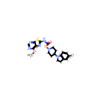 COc1ncnc2sc(NC(=O)ON3CCC(N4CCc5cc(Cl)ccc54)CC3)nc12